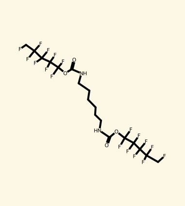 O=C(NCCCCCCNC(=O)OC(F)(F)C(F)(F)C(F)(F)C(F)(F)CF)OC(F)(F)C(F)(F)C(F)(F)C(F)(F)CF